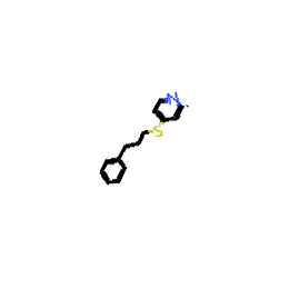 [c]1cc(SCCCc2ccccc2)ccn1